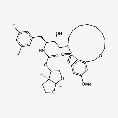 COc1ccc2c(c1)COCCCCCCCCN(C[C@@H](O)[C@H](Cc1cc(F)cc(F)c1)NC(=O)OC1CO[C@H]3OCC[C@@H]13)S2(=O)=O